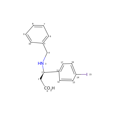 O=C(O)C[C@@H](NCc1ccccc1)c1ccc(I)cc1